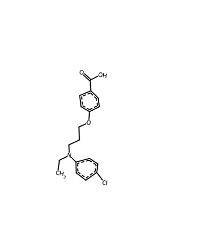 CCN(CCCOc1ccc(C(=O)O)cc1)c1ccc(Cl)cc1